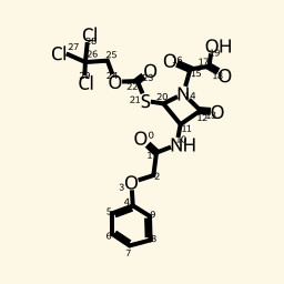 O=C(COc1ccccc1)NC1C(=O)N(C(=O)C(=O)O)C1SC(=O)OCC(Cl)(Cl)Cl